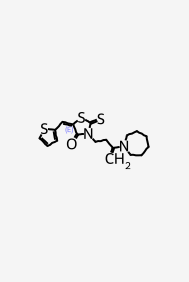 C=C(CCN1C(=O)/C(=C\c2cccs2)SC1=S)N1CCCCCC1